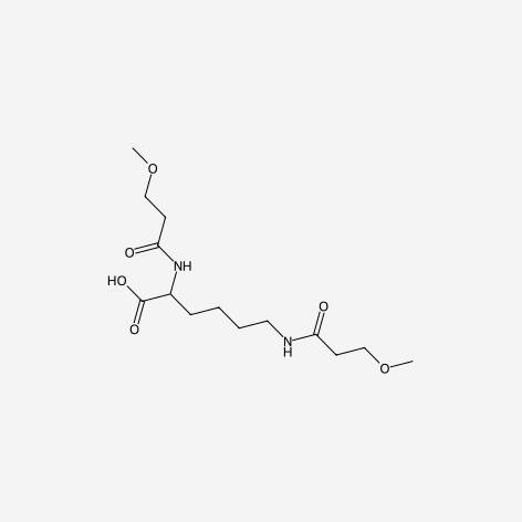 COCCC(=O)NCCCCC(NC(=O)CCOC)C(=O)O